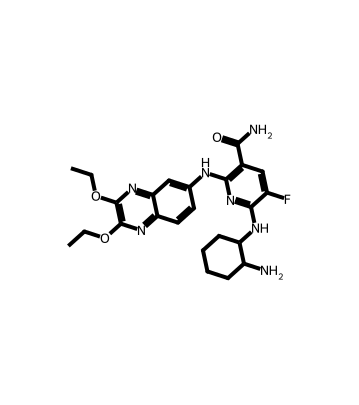 CCOc1nc2ccc(Nc3nc(NC4CCCCC4N)c(F)cc3C(N)=O)cc2nc1OCC